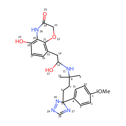 COc1ccc(C2(CCC(C)(C)NC(O)Cc3ccc(O)c4c3OCC(=O)N4)N=CN=N2)cc1